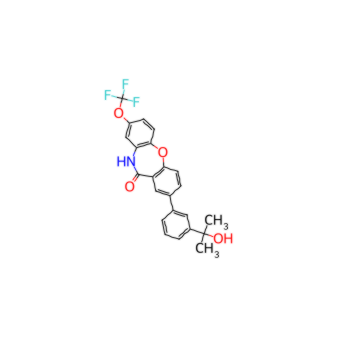 CC(C)(O)c1cccc(-c2ccc3c(c2)C(=O)Nc2cc(OC(F)(F)F)ccc2O3)c1